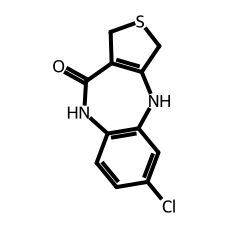 O=C1Nc2ccc(Cl)cc2NC2=C1CSC2